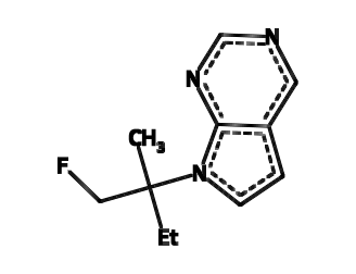 CCC(C)(CF)n1ccc2cncnc21